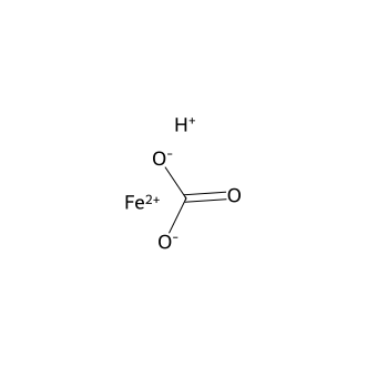 O=C([O-])[O-].[Fe+2].[H+]